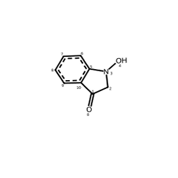 O=C1CN(O)c2ccccc21